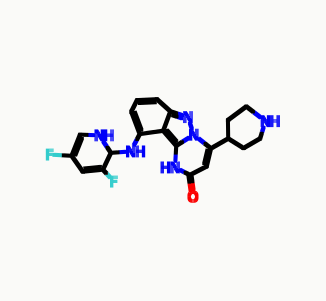 O=c1cc(C2CCNCC2)n2nc3cccc(NC4NC=C(F)C=C4F)c3c2[nH]1